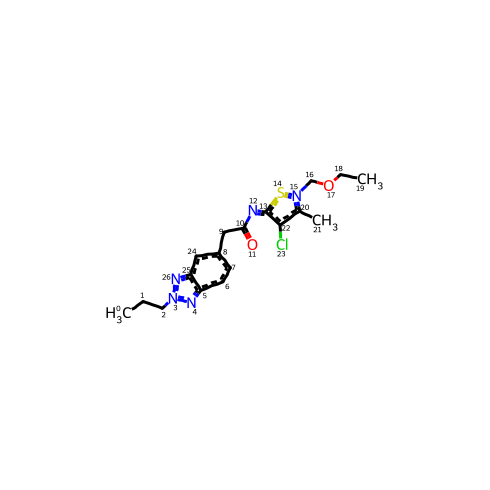 CCCn1nc2ccc(CC(=O)N=c3sn(COCC)c(C)c3Cl)cc2n1